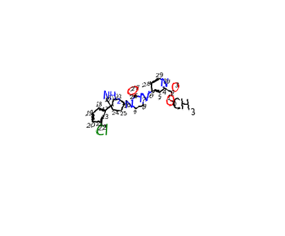 COC(=O)c1cc(N2CCN(C3CCC(CN)(c4cccc(Cl)c4)CC3)C2=O)ccn1